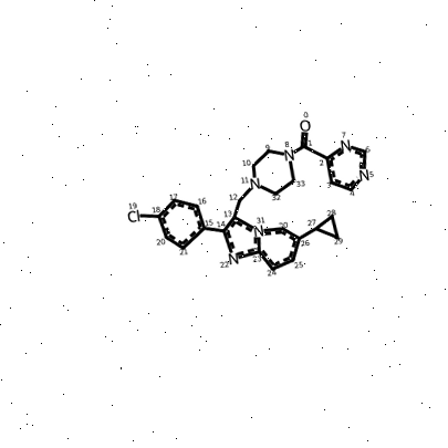 O=C(c1ccncn1)N1CCN(Cc2c(-c3ccc(Cl)cc3)nc3ccc(C4CC4)cn23)CC1